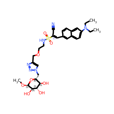 CCN(CC)c1ccc2cc(/C=C(\C#N)S(=O)(=O)NCCOCc3cn(C[C@H]4O[C@H](OC)[C@H](O)[C@@H](O)[C@@H]4O)nn3)ccc2c1